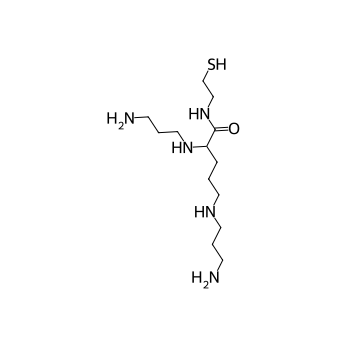 NCCCNCCCC(NCCCN)C(=O)NCCS